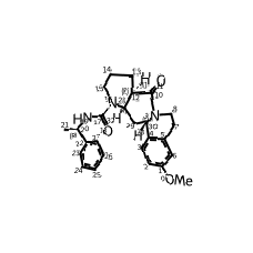 COc1ccc2c(c1)CCN1C(=O)[C@@H]3CCCN(C(=O)N[C@H](C)c4ccccc4)[C@@H]3C[C@@H]21